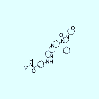 Cc1nc(Nc2ccc(C(=O)NC3CC3)cc2)ccc1CN1CCC(N2C(=O)N(C3CCOCC3)CC2c2ccccc2)CC1